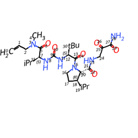 C=CCN(C)C(=O)[C@@H](NC(=O)N[C@H](C(=O)N1CC[C@H](C(C)C)[C@H]1C(=O)NCC(=O)C(N)=O)C(C)(C)C)C(C)C